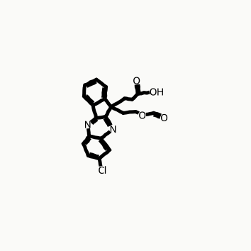 O=COCCC1(CCC(=O)O)c2ccccc2-c2nc3ccc(Cl)cc3nc21